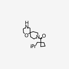 CC(C)CC1(C(=O)N2CCC3(CC2)CNCCO3)CCC1